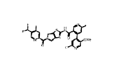 COc1cnc(Cl)cc1-c1cc(C)ncc1C(=O)Nc1nc2c(s1)CN(C(=O)c1cc(C)c(C(F)F)cn1)C2